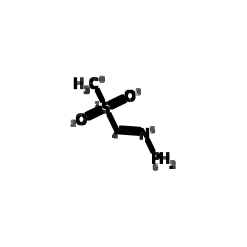 CS(=O)(=O)C=NP